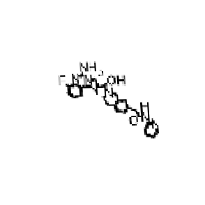 Nc1nc2c(F)cccc2c2nc(C(O)N3CCc4ccc(CC(=O)Nc5ccccn5)cc4C3)cn12